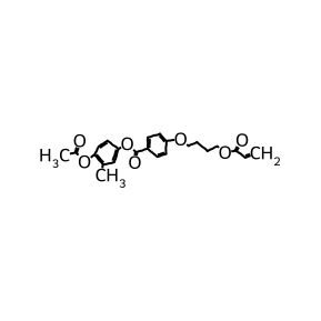 C=CC(=O)OCCCCOc1ccc(C(=O)Oc2ccc(OC(C)=O)c(C)c2)cc1